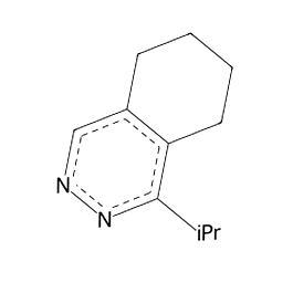 CC(C)c1nncc2c1CCCC2